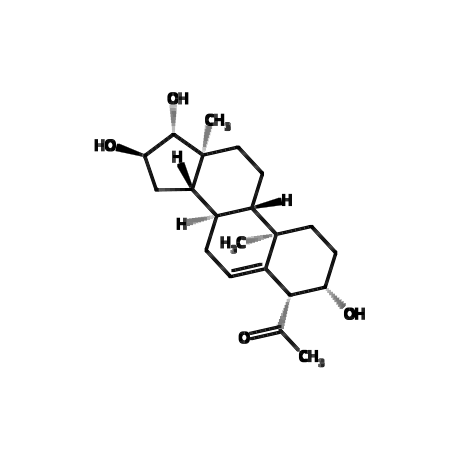 CC(=O)[C@@H]1C2=CC[C@H]3[C@@H]4C[C@@H](O)[C@H](O)[C@@]4(C)CC[C@@H]3[C@@]2(C)CC[C@@H]1O